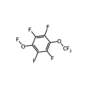 FOc1c(F)c(F)c(OC(F)(F)F)c(F)c1F